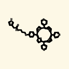 O=C(Cc1cc[nH]c1)NCCCOc1ccc(-c2c3nc(c(-c4ccncc4)c4ccc([nH]4)c(-c4ccncc4)c4nc(c(-c5ccncc5)c5ccc2[nH]5)C=C4)C=C3)cc1